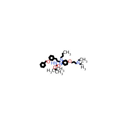 CCCCn1c(C(Cc2cccc(OCc3ccccc3)c2)NC(=O)OC(C)(C)C)nc2ccc(OCCCN(CC)CC)cc21